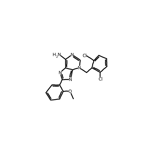 COc1ccccc1-c1nc2c(N)ncn(Cc3c(Cl)cccc3Cl)c-2n1